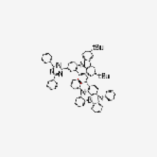 CC(C)(C)c1ccc2c(c1)c1cc(C(C)(C)C)ccc1n2-c1ccc(-c2nc(-c3ccccc3)nc(-c3ccccc3)n2)cc1-c1ccc(-c2ccc3c4c2N(c2ccccc2)c2ccccc2B4c2ccccc2N3c2ccccc2)cc1